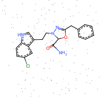 NC(=O)C1OC(Cc2ccccc2)=NN1CCc1c[nH]c2ccc(Cl)cc12